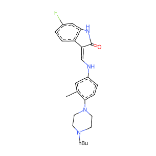 CCCCN1CCN(c2ccc(NC=C3C(=O)Nc4cc(F)ccc43)cc2C)CC1